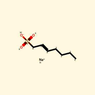 CCCC/C=C/CS(=O)(=O)[O-].[Na+]